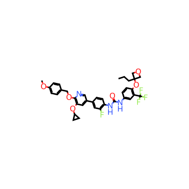 CCCC1(Oc2ccc(NC(=O)Nc3ccc(-c4cnc(OCc5ccc(OC)cc5)c(OC5CC5)c4)cc3F)cc2C(F)(F)F)COC1